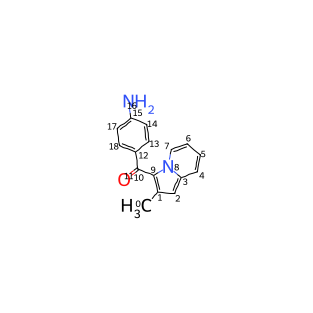 Cc1cc2ccccn2c1C(=O)c1ccc(N)cc1